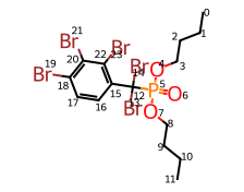 CCCCOP(=O)(OCCCC)C(Br)(Br)c1ccc(Br)c(Br)c1Br